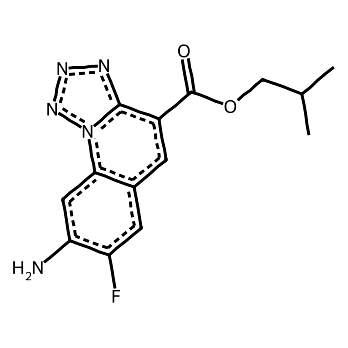 CC(C)COC(=O)c1cc2cc(F)c(N)cc2n2nnnc12